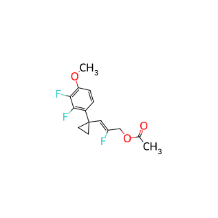 COc1ccc(C2(C=C(F)COC(C)=O)CC2)c(F)c1F